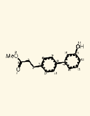 COC(=O)CCc1ccc(-c2cccc(O)c2)cc1